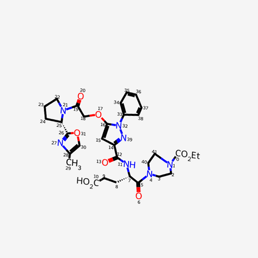 CCOC(=O)N1CCN(C(=O)[C@H](CCC(=O)O)NC(=O)c2cc(OCC(=O)N3CCC[C@H]3c3nc(C)co3)n(-c3ccccc3)n2)CC1